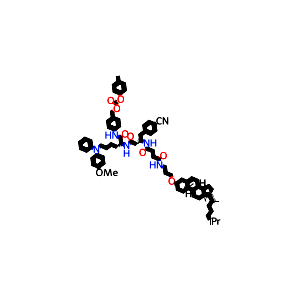 COc1ccc(N(CCCC[C@H](NC(=O)C[C@H](Cc2ccc(C#N)cc2)NC(=O)CCC(=O)NCCCO[C@H]2CC[C@@]3(C)C(=CC[C@H]4[C@@H]5CC[C@H]([C@H](C)CCCC(C)C)[C@@]5(C)CC[C@@H]43)C2)C(=O)Nc2ccc(COC(=O)Oc3ccc(C)cc3)cc2)c2ccccc2)cc1